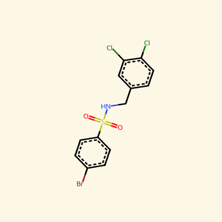 O=S(=O)(NCc1ccc(Cl)c(Cl)c1)c1ccc(Br)cc1